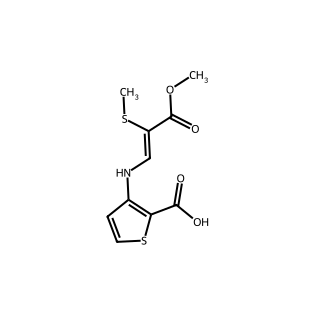 COC(=O)C(=CNc1ccsc1C(=O)O)SC